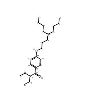 CCCCN(CCCC)CCCOc1ccc(C(=O)N(CC)CC)cc1